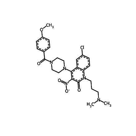 COc1ccc(C(=O)N2CCN(c3c([N+](=O)[O-])c(=O)n(CCCN(C)C)c4ccc(Cl)cc34)CC2)cc1